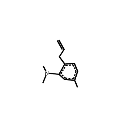 C=CCc1ccc(C)cc1N(C)C